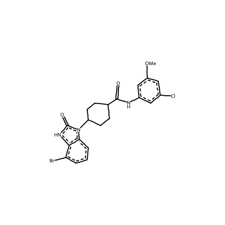 COc1cc(Cl)cc(NC(=O)C2CCC(n3c(=O)[nH]c4c(Br)cccc43)CC2)c1